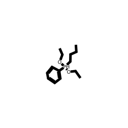 CCCC[PH](OCC)(OCC)c1ccccc1